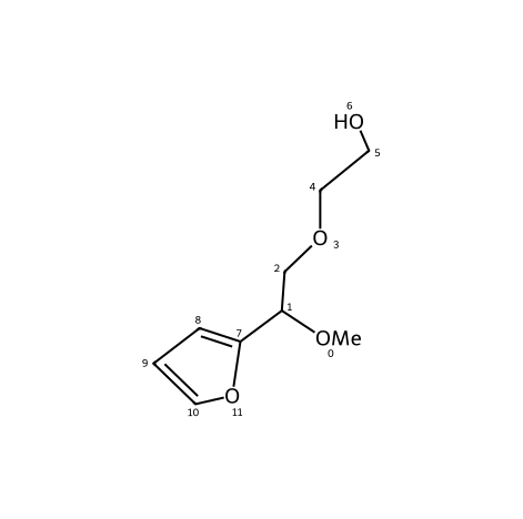 COC(COCCO)c1ccco1